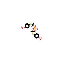 COc1ccc(SC(C)(C)O[PH](=O)OC(C)(C)Sc2ccc(OC)cc2)cc1